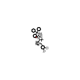 COc1ccc(Cn2nnnc2C2N3C(=O)C(NC(c4ccccc4)(c4ccccc4)c4ccccc4)[C@H]3SC2(C)C)cc1Cl